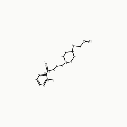 CCOCCC1CCN(CCCC(=O)c2ccccc2C)CC1